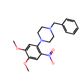 COc1cc(N2CCN(Cc3ccccc3)CC2)c([N+](=O)[O-])cc1OC